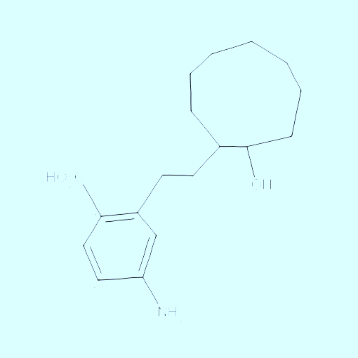 Nc1ccc(C(=O)O)c(CCC2CCCCCCCC2O)c1